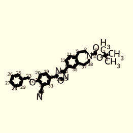 CC(C)(C)OC(=O)N1CCc2ccc(-c3noc(-c4ccc(OCc5ccccc5)c(C#N)c4)n3)cc2CC1